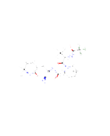 C[C@@H]1CC[C@@H](C(=O)N[C@H](C#N)C[C@@H]2CCC(C)(C)NC2=O)N(C(=O)C(NC(=O)C(F)(F)F)C(C)(C)C)C1